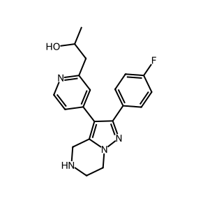 CC(O)Cc1cc(-c2c(-c3ccc(F)cc3)nn3c2CNCC3)ccn1